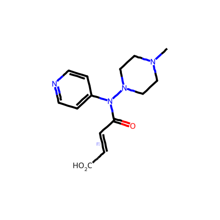 CN1CCN(N(C(=O)/C=C/C(=O)O)c2ccncc2)CC1